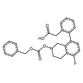 O=C(O)Cc1ccccc1-c1ccc(F)c2c1CN(OC(=O)OCc1ccccc1)CC2